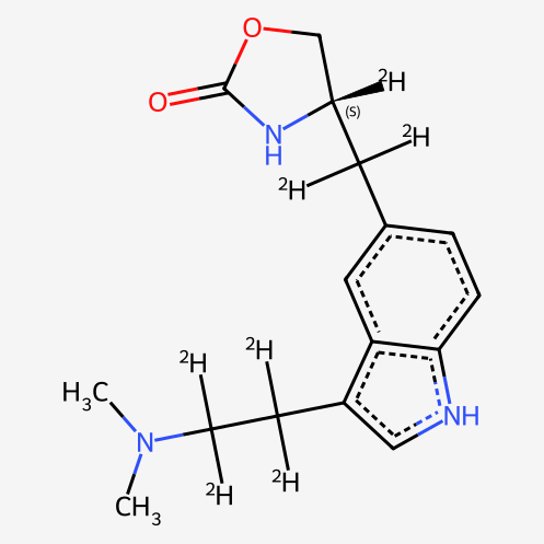 [2H]C([2H])(c1c[nH]c2ccc(C([2H])([2H])[C@@]3([2H])COC(=O)N3)cc12)C([2H])([2H])N(C)C